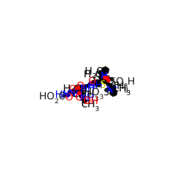 CCC(C)(CC(C)(CC(C)(C)C(=O)NCC(=O)NCC(=O)O)C(=O)NCCCNC(=O)c1ccc(SC2=C(/C=C/C3=[N+](CS(=O)(=O)O)c4ccccc4C3(C)C)CCC/C2=C\C=C2/N(CCCCS(=O)(=O)O)c3ccccc3C2(C)C)cc1)C(=O)NCC(C)O